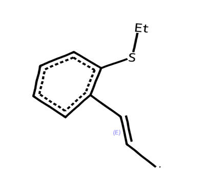 [CH2]/C=C/c1ccccc1SCC